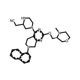 CN1CCOC[C@H]1COc1nc2c(c(N3CCNC(CC#N)C3)n1)CCN(c1cccc3ccccc13)C2